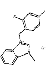 Cn1c[n+](Cc2ccc(F)cc2F)c2ccccc21.[Br-]